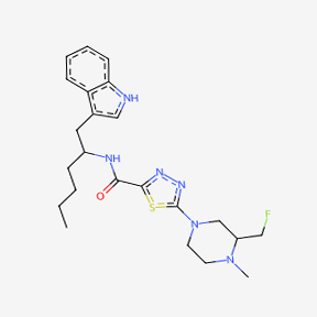 CCCCC(Cc1c[nH]c2ccccc12)NC(=O)c1nnc(N2CCN(C)C(CF)C2)s1